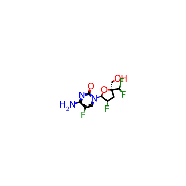 Nc1nc(=O)n([C@H]2O[C@@](CO)(C(F)F)C[C@@H]2F)cc1F